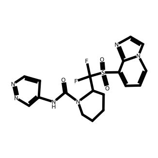 O=C(Nc1ccnnc1)N1CCCCC1C(F)(F)S(=O)(=O)c1cccn2ccnc12